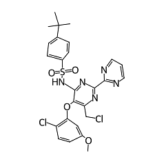 COc1ccc(Cl)c(Oc2c(CCl)nc(-c3ncccn3)nc2NS(=O)(=O)c2ccc(C(C)(C)C)cc2)c1